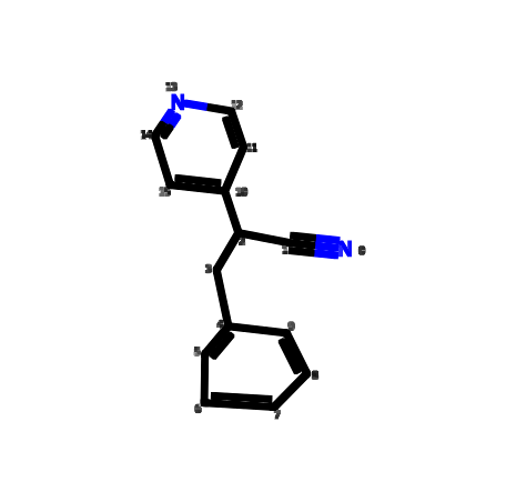 N#CC(Cc1ccccc1)c1ccncc1